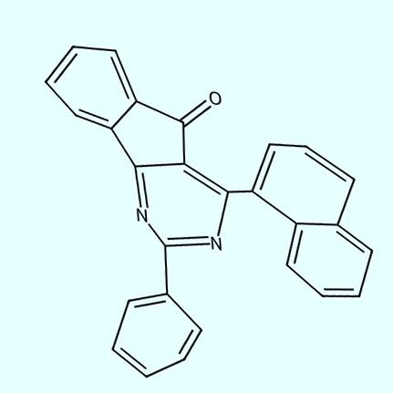 O=C1c2ccccc2-c2nc(-c3ccccc3)nc(-c3cccc4ccccc34)c21